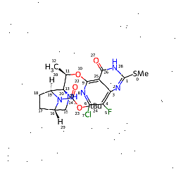 CSc1nc2c(F)c(Cl)nc(O[C@H](C)[C@H]3NC[C@@H]4CC[C@@H]3N4C(=O)OC(C)(C)C)c2c(=O)[nH]1